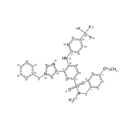 COc1ccc(CN(C)S(=O)(=O)c2ccc(Nc3ccc(C(F)(F)F)cn3)c(-c3cn(Cc4ccccc4)cn3)c2)cc1